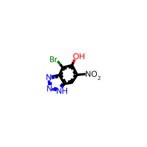 O=[N+]([O-])c1cc2[nH]nnc2c(Br)c1O